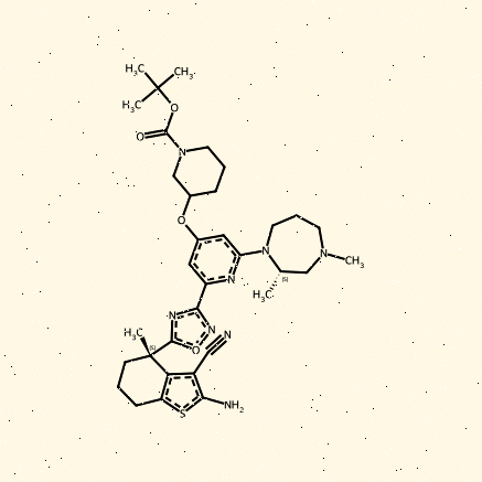 C[C@H]1CN(C)CCCN1c1cc(OC2CCCN(C(=O)OC(C)(C)C)C2)cc(-c2noc([C@@]3(C)CCCc4sc(N)c(C#N)c43)n2)n1